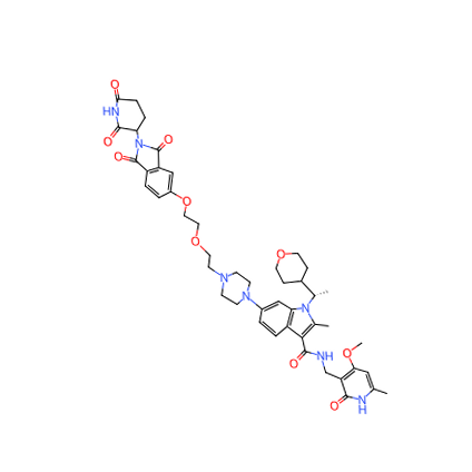 COc1cc(C)[nH]c(=O)c1CNC(=O)c1c(C)n([C@@H](C)C2CCOCC2)c2cc(N3CCN(CCOCCOc4ccc5c(c4)C(=O)N(C4CCC(=O)NC4=O)C5=O)CC3)ccc12